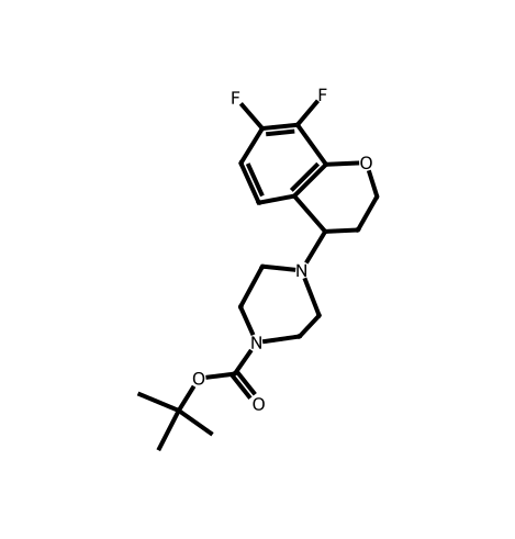 CC(C)(C)OC(=O)N1CCN(C2CCOc3c2ccc(F)c3F)CC1